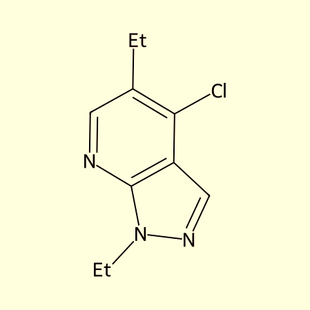 CCc1cnc2c(cnn2CC)c1Cl